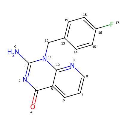 Nc1nc(=O)c2cccnc2n1Cc1ccc(F)cc1